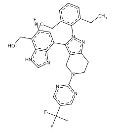 CCc1cccc(CC)c1-n1nc2c(c1-c1cc(F)c(CO)c3[nH]cnc13)CN(c1ncc(C(F)(F)F)cn1)CC2